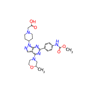 COC(=O)Nc1ccc(-c2nc(N3CCOC(C)C3)c3cnn(C4CCN(CC(=O)O)CC4)c3n2)cc1